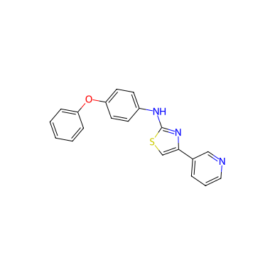 c1ccc(Oc2ccc(Nc3nc(-c4cccnc4)cs3)cc2)cc1